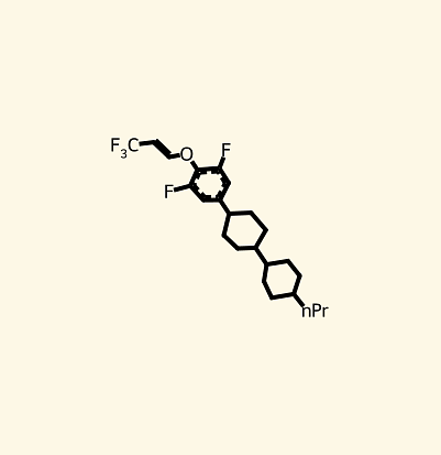 CCCC1CCC(C2CCC(c3cc(F)c(O/C=C/C(F)(F)F)c(F)c3)CC2)CC1